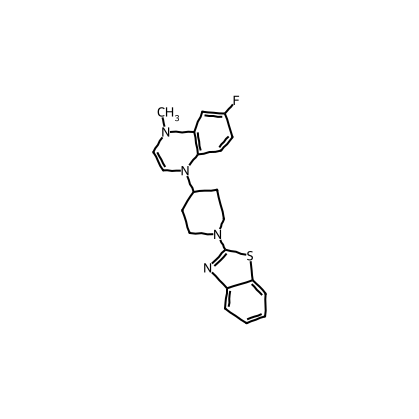 CN1C=CN(C2CCN(c3nc4ccccc4s3)CC2)c2ccc(F)cc21